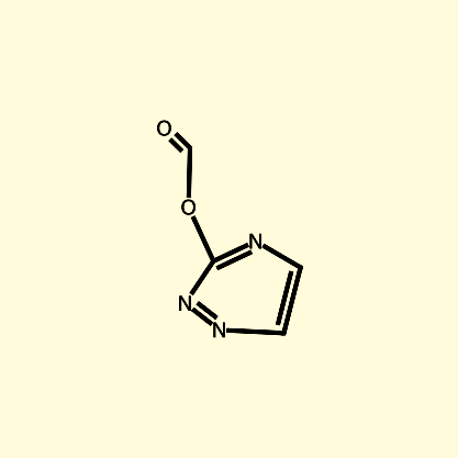 O=COc1nccnn1